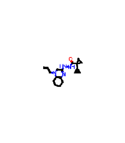 C=CCN1CC(NNC(=O)C2(C3CC3)CC2)=NC2=C1CCCC2